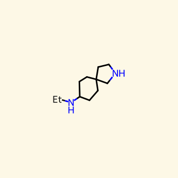 CCNC1CCC2(CCNC2)CC1